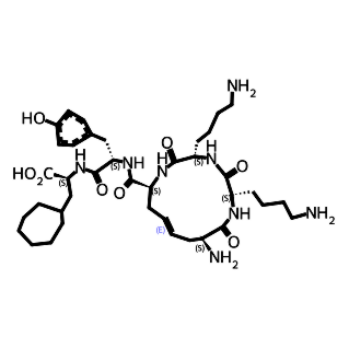 NCCCC[C@@H]1NC(=O)[C@H](CCCCN)NC(=O)[C@@H](N)C/C=C/C[C@@H](C(=O)N[C@@H](Cc2ccc(O)cc2)C(=O)N[C@@H](CC2CCCCCC2)C(=O)O)NC1=O